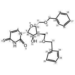 O=c1[nH]c(=S)ccn1[C@@H]1O[C@H](COCc2ccccc2)[C@@H](COCc2ccccc2)[C@H]1O